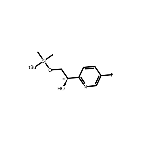 CC(C)(C)[Si](C)(C)OC[C@H](O)c1ccc(F)cn1